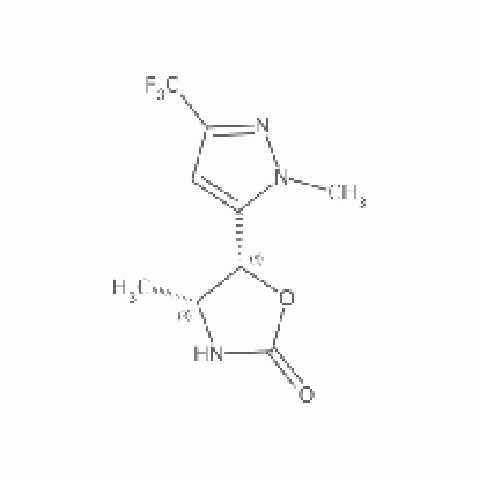 C[C@H]1NC(=O)O[C@H]1c1cc(C(F)(F)F)nn1C